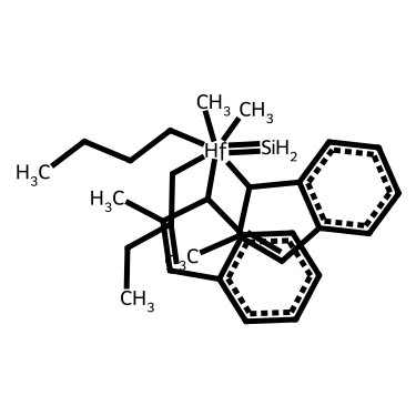 CCC[CH2][Hf]([CH3])([CH3])(=[SiH2])([CH2]CCC)([CH]1C(C)=Cc2ccccc21)[CH]1C(C)=Cc2ccccc21